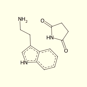 NCCc1c[nH]c2ccccc12.O=C1CCC(=O)N1